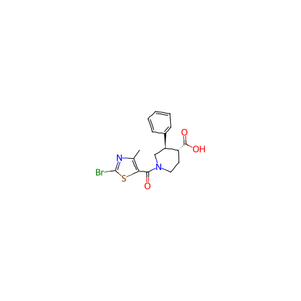 Cc1nc(Br)sc1C(=O)N1CC[C@@H](C(=O)O)[C@H](c2ccccc2)C1